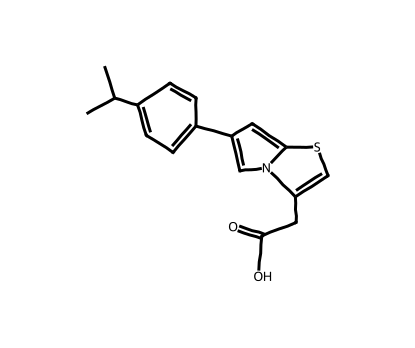 CC(C)c1ccc(-c2cc3scc(CC(=O)O)n3c2)cc1